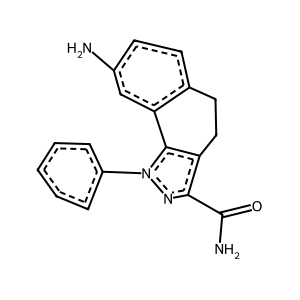 NC(=O)c1nn(-c2ccccc2)c2c1CCc1ccc(N)cc1-2